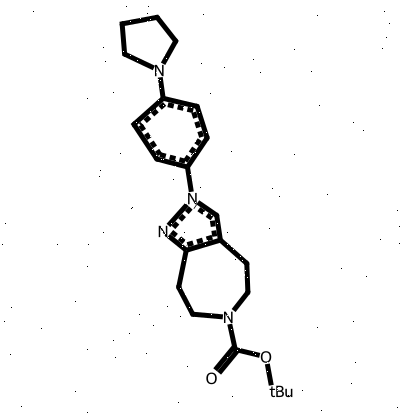 CC(C)(C)OC(=O)N1CCc2cn(-c3ccc(N4CCCC4)cc3)nc2CC1